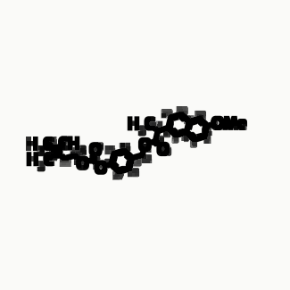 COc1ccc2cc([C@H](C)C(=O)OCc3ccc(OC(=O)OCC[Si](C)(C)C)cc3)ccc2c1